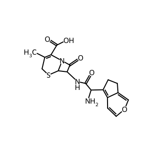 CC1=C(C(=O)O)N2C(=O)C(NC(=O)C(N)C3=C4C=COC=C4CC3)C2SC1